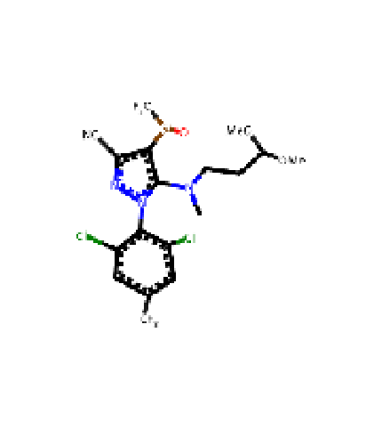 COC(CCN(C)c1c([S+]([O-])C(F)(F)F)c(C#N)nn1-c1c(Cl)cc(C(F)(F)F)cc1Cl)OC